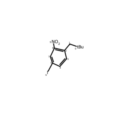 CC(C)(C)[CH]c1ccc(I)cc1[N+](=O)[O-]